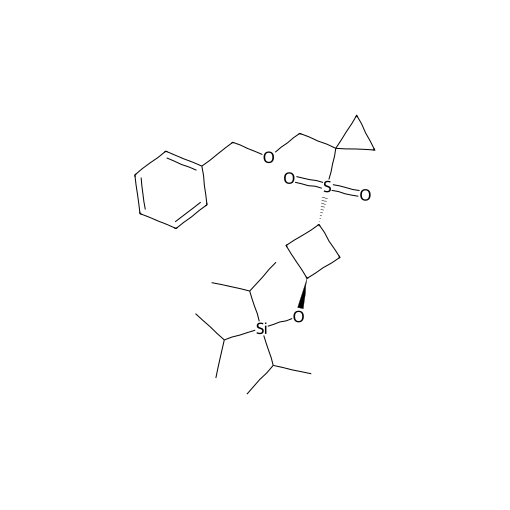 CC(C)[Si](O[C@H]1C[C@H](S(=O)(=O)C2(COCc3ccccc3)CC2)C1)(C(C)C)C(C)C